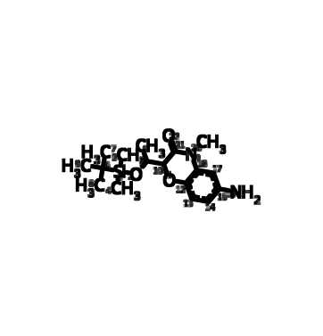 CC(O[Si](C)(C)C(C)(C)C)C1Oc2ccc(N)cc2N(C)C1=O